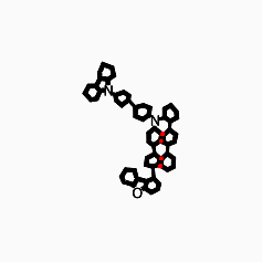 c1ccc(-c2ccc(-c3ccccc3N(c3ccc(-c4ccc(-c5cccc6oc7ccccc7c56)cc4)cc3)c3ccc(-c4ccc(-n5c6ccccc6c6ccccc65)cc4)cc3)cc2)cc1